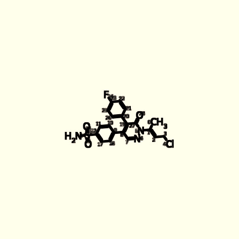 C/C(=C\CCl)n1ncc(-c2ccc(S(N)(=O)=O)cc2)c(-c2ccc(F)cc2)c1=O